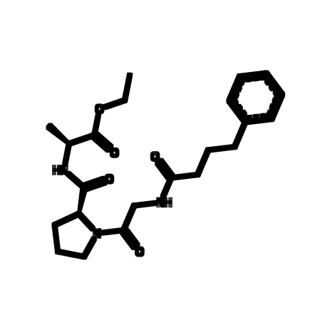 CCOC(=O)[C@H](C)NC(=O)[C@@H]1CCCN1C(=O)CNC(=O)CCCc1ccccc1